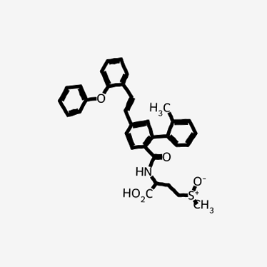 Cc1ccccc1-c1cc(C=Cc2ccccc2Oc2ccccc2)ccc1C(=O)NC(CC[S+](C)[O-])C(=O)O